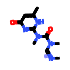 C/N=C\N(C)C(=O)N(C)c1nc(=O)cc(C)[nH]1